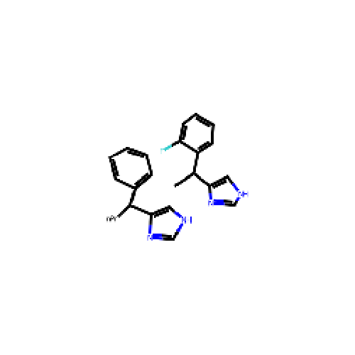 CC(c1c[nH]cn1)c1ccccc1F.CCCC(c1ccccc1)c1c[nH]cn1